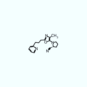 Cc1nc(CCCc2ccccn2)oc1N1CCC[C@H]1C#N